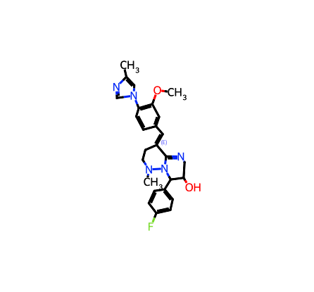 COc1cc(/C=C2\CCN(C)N3C2=NCC(O)C3c2ccc(F)cc2)ccc1-n1cnc(C)c1